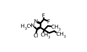 CCCC(C)(CC)c1c(C(F)F)nn(C)c1Cl